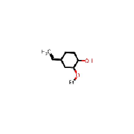 C=CC1CCC(O)C(OCC)C1